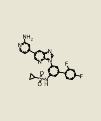 Nc1cc(-c2cnc3c(c2)ncn3-c2cc(NS(=O)(=O)C3CC3)cc(-c3ccc(F)cc3F)c2)ccn1